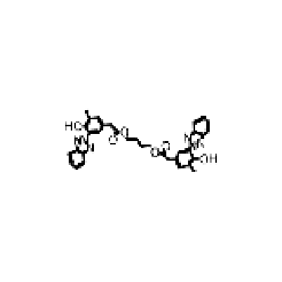 Cc1cc(CC(=O)OCCCCOC(=O)Cc2cc(C)c(O)c(-n3nc4ccccc4n3)c2)cc(-n2nc3ccccc3n2)c1O